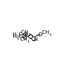 CCO/C=C/c1nccc2cc(B3OC(C)(C)C(C)(C)O3)ccc12